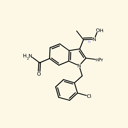 CCCc1c(/C(C)=N/O)c2ccc(C(N)=O)cc2n1Cc1ccccc1Cl